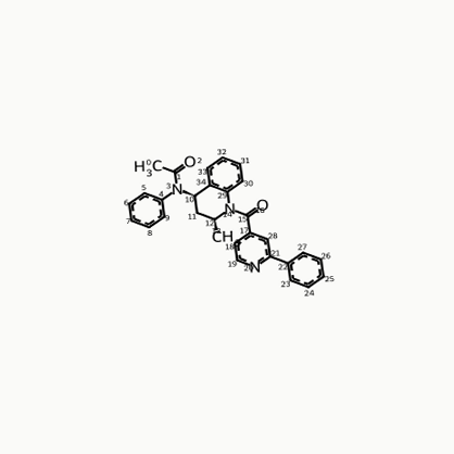 CC(=O)N(c1ccccc1)[C@@H]1C[C@H](C)N(C(=O)c2ccnc(-c3ccccc3)c2)c2ccccc21